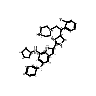 Fc1ccccc1C(CN1CCNCC1)C1CSC(c2cc3cc(Oc4ccccc4)cc(NC4CCCC4)c3[nH]2)=N1